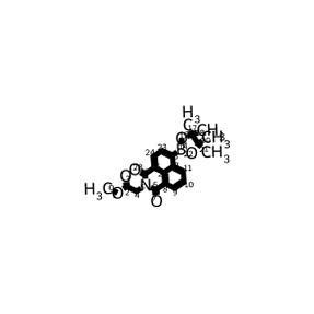 COC(=O)CN1C(=O)c2cccc3c(B4OC(C)(C)C(C)(C)O4)ccc(c23)C1=O